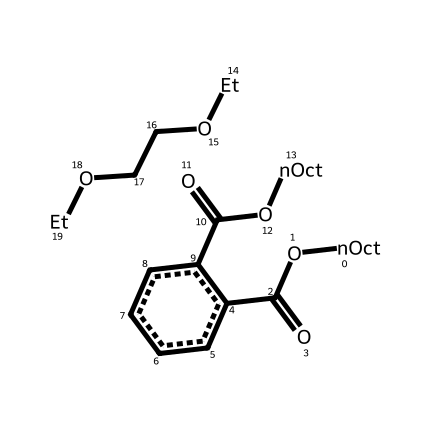 CCCCCCCCOC(=O)c1ccccc1C(=O)OCCCCCCCC.CCOCCOCC